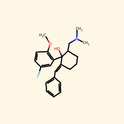 COc1ccc(F)cc1C1(O)C(=Cc2ccccc2)CCCC1CN(C)C